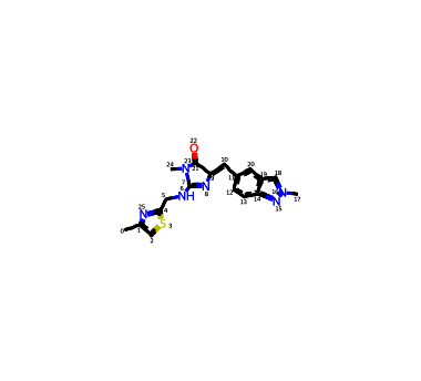 Cc1csc(CNC2=N/C(=C\c3ccc4nn(C)cc4c3)C(=O)N2C)n1